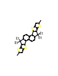 CCC1(CC)c2ccc3c4c(ccc3c2-c2sc3cc(C)sc3c21)C(CC)(CC)c1c-4sc2cc(C)sc12